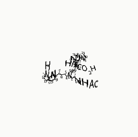 CC(=O)NCCN(CCCCc1ccc2c(n1)NCCC2)CC[C@H](Nc1cc([N+]2=CC=C2)ncn1)C(=O)O